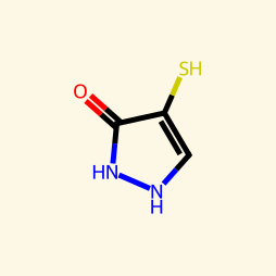 O=c1[nH][nH]cc1S